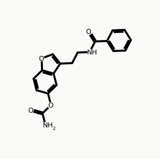 NC(=O)Oc1ccc2occ(CCNC(=O)c3ccccc3)c2c1